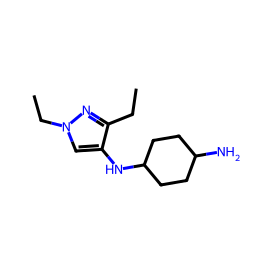 CCc1nn(CC)cc1NC1CCC(N)CC1